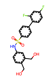 O=S(=O)(Nc1ccc(CO)c(CO)c1)c1ccc(-c2ccc(F)cc2F)cc1